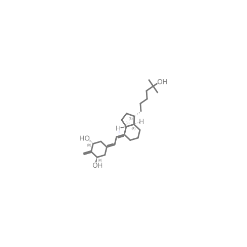 C=C1[C@H](O)CC(=C/C=C2\CCC[C@@H]3[C@@H](CCCCC(C)(C)O)CC[C@@H]23)C[C@H]1O